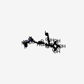 C=Nc1ccc(OCCCCC2CCN(C(=O)[C@H](O)CSCCNC(=O)[C@H](CSCCNC(=O)CCCc3ccc(I)cc3)NC(=O)CN3CCN(CC(=O)O)CCN(CC(=O)O)CCN(CC(=O)O)CC3)CC2)cc1/C(=C\C)C(=O)NCC(=O)N1CC(F)(F)C[C@@H]1C#N